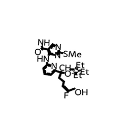 CCS(CC)(CC)COC(C)(CC/C=C(/F)CO)c1cccc(Nc2nc(SC)ncc2C(N)=O)n1